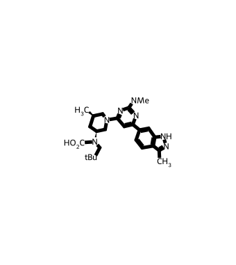 CNc1nc(-c2ccc3c(C)n[nH]c3c2)cc(N2C[C@H](C)C[C@@H](N(CC(C)(C)C)C(=O)O)C2)n1